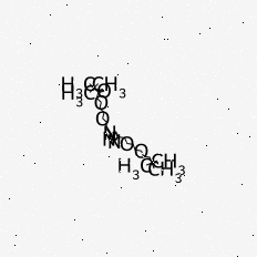 CC(C)(C)CCOCCOCc1cn(CCOCCOCC(=O)C(C)(C)C)nn1